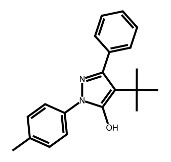 Cc1ccc(-n2nc(-c3ccccc3)c(C(C)(C)C)c2O)cc1